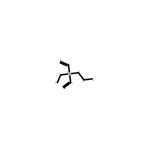 C=C[Si](C=C)(CC)CCC